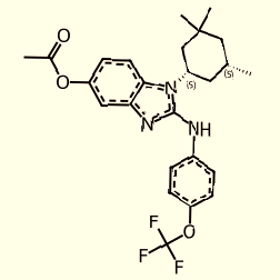 CC(=O)Oc1ccc2c(c1)nc(Nc1ccc(OC(F)(F)F)cc1)n2[C@H]1C[C@@H](C)CC(C)(C)C1